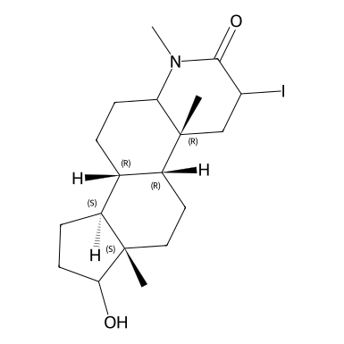 CN1C(=O)C(I)C[C@@]2(C)C1CC[C@@H]1[C@H]2CC[C@]2(C)C(O)CC[C@@H]12